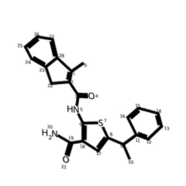 CC1=C(C(=O)Nc2sc(C(C)c3ccccc3)cc2C(N)=O)Cc2ccccc21